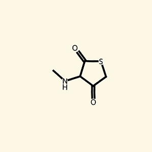 CNC1C(=O)CSC1=O